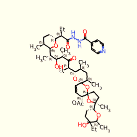 CC[C@@H](C(=O)[C@@H](C)[C@@H](O)[C@H](C)[C@@H]1O[C@@H]([C@@H](CC)C(=O)NNC(=O)c2ccncc2)CC[C@@H]1C)[C@H]1O[C@]2(C=C[C@@H](OC(C)=O)[C@]3(CC[C@@](C)([C@H]4CC[C@](O)(CC)[C@H](C)O4)O3)O2)[C@H](C)C[C@@H]1C